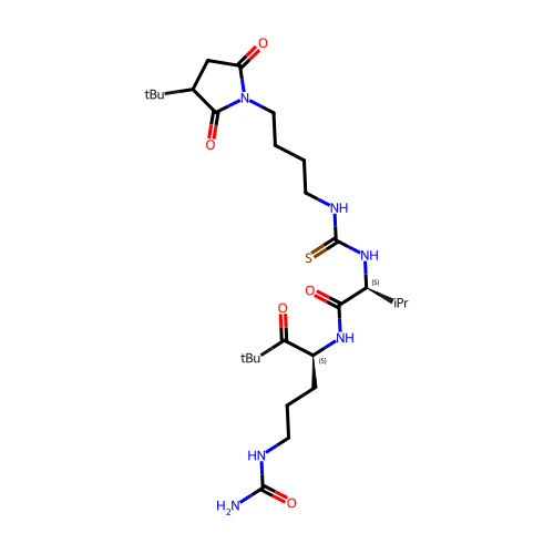 CC(C)[C@H](NC(=S)NCCCCN1C(=O)CC(C(C)(C)C)C1=O)C(=O)N[C@@H](CCCNC(N)=O)C(=O)C(C)(C)C